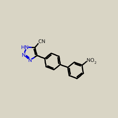 N#Cc1[nH]nnc1-c1ccc(-c2cccc([N+](=O)[O-])c2)cc1